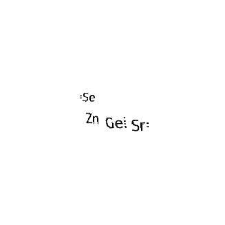 [Ge].[Se].[Sr].[Zn]